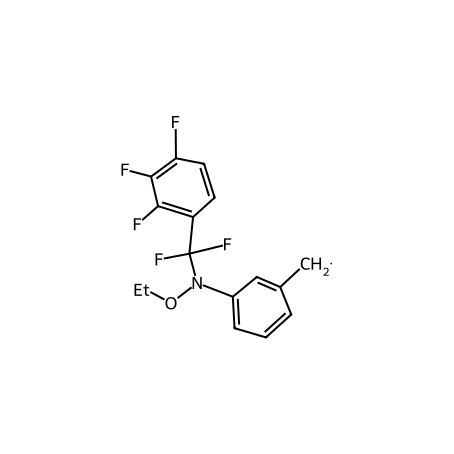 [CH2]c1cccc(N(OCC)C(F)(F)c2ccc(F)c(F)c2F)c1